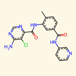 Cc1ccc(C(=O)Nc2cccnc2)cc1NC(=O)c1ncnc(N)c1Cl